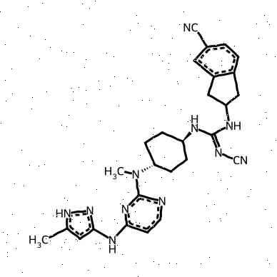 Cc1cc(Nc2ccnc(N(C)[C@H]3CC[C@H](N/C(=N/C#N)NC4Cc5ccc(C#N)cc5C4)CC3)n2)n[nH]1